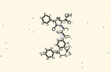 CC(=C1/C(=O)N(c2ccccc2)N=C1C(=O)O)/C(C)=C(\C)c1ccc2c(c1)C(C)(C)CCN2c1ccc(C)cc1